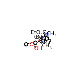 CCOC(=O)c1cc2cc(C[C@@H](C)NC[C@H](O[Si](C)(C)C(C)(C)C)c3ccc(OCc4ccccc4)c(CO)c3)ccc2n1C